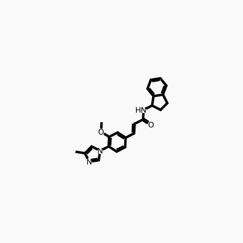 COc1cc(/C=C/C(=O)NC2CCc3ccccc32)ccc1-n1cnc(C)c1